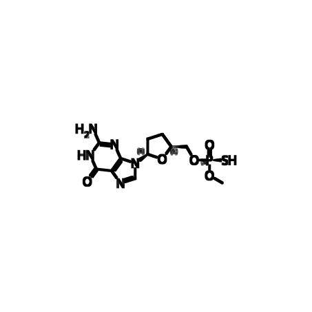 CO[P@](=O)(S)OC[C@@H]1CC[C@H](n2cnc3c(=O)[nH]c(N)nc32)O1